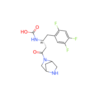 O=C(O)N[C@@H](CC(=O)N1CC2CC1CN2)Cc1cc(F)c(F)cc1F